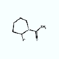 CC(C)C1CCCCN1C(N)=O